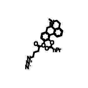 CCCC(=O)Oc1c(OC(=O)CCCN=[N+]=[N-])ccc2c1-c1cccc3c1[C@@H](C2)N(C)CC3